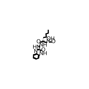 CCCCC[C@H](CN(O)C=O)C(=O)NNc1nc2ccccc2[nH]c1=O